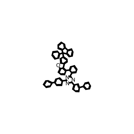 c1ccc(-c2ccc(-c3nc(-c4cccc(-c5ccccc5)c4)nc(-c4ccccc4-c4cccc5oc6cc(C7(c8ccccc8)c8ccccc8-c8ccccc87)ccc6c45)n3)cc2)cc1